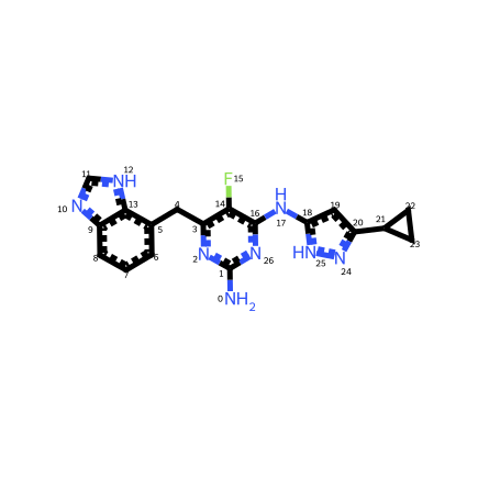 Nc1nc(Cc2cccc3nc[nH]c23)c(F)c(Nc2cc(C3CC3)n[nH]2)n1